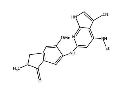 CCNc1cc(Nc2cc3c(cc2OC)CN(C)C3=O)nc2[nH]cc(C#N)c12